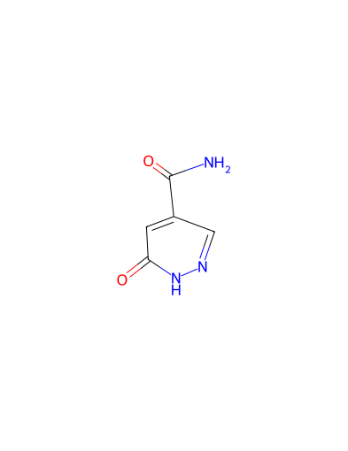 NC(=O)c1cn[nH]c(=O)c1